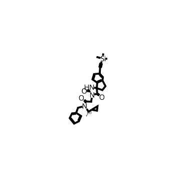 C[C@@H](C1CC1)N(Cc1ccccc1)C(=O)CN1C(=O)NC2(CCc3cc(C#C[Si](C)(C)C)ccc32)C1=O